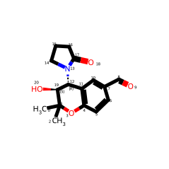 CC1(C)Oc2ccc(C=O)cc2[C@@H](N2CCCC2=O)[C@@H]1O